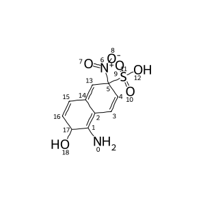 NC1=C2C=CC([N+](=O)[O-])(S(=O)(=O)O)C=C2C=CC1O